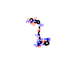 CNC(=O)c1nnc(NC(=O)CNCCCOCCNc2ccc3c(c2)C(=O)N(C2CCC(=O)NC2=O)C3=O)cc1Nc1cccc(-c2ncn(C)n2)c1OC